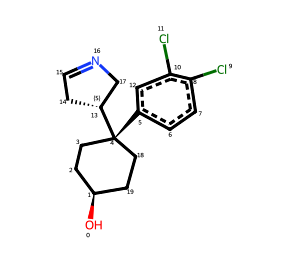 O[C@H]1CC[C@](c2ccc(Cl)c(Cl)c2)([C@@H]2CC=NC2)CC1